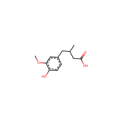 COc1cc(CC(C)CC(=O)O)ccc1O